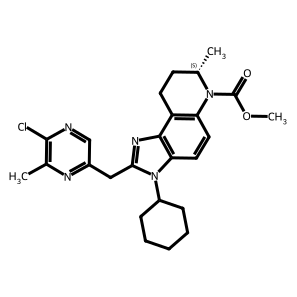 COC(=O)N1c2ccc3c(nc(Cc4cnc(Cl)c(C)n4)n3C3CCCCC3)c2CC[C@@H]1C